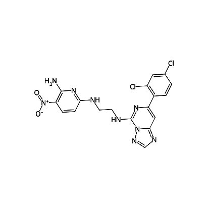 Nc1nc(NCCNc2nc(-c3ccc(Cl)cc3Cl)cc3ncnn23)ccc1[N+](=O)[O-]